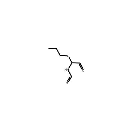 CCCOC(C=O)NC=O